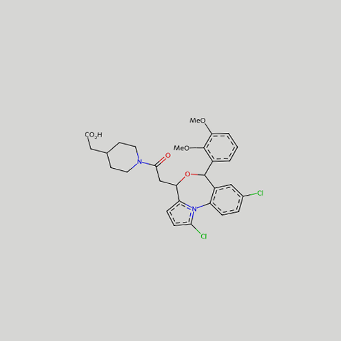 COc1cccc(C2OC(CC(=O)N3CCC(CC(=O)O)CC3)c3ccc(Cl)n3-c3ccc(Cl)cc32)c1OC